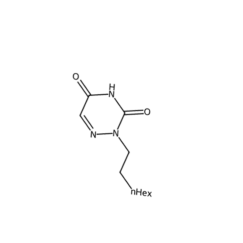 CCCCCCCCn1ncc(=O)[nH]c1=O